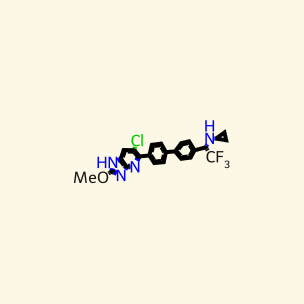 COc1nc2nc(-c3ccc(-c4ccc(C(NC5CC5)C(F)(F)F)cc4)cc3)c(Cl)cc2[nH]1